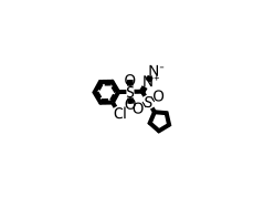 [N-]=[N+]=C(S(=O)(=O)c1ccccc1Cl)S(=O)(=O)C1CCCC1